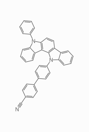 N#Cc1ccc(-c2ccc(-n3c4ccccc4c4ccc5c(c6ccccc6n5-c5ccccc5)c43)cc2)cc1